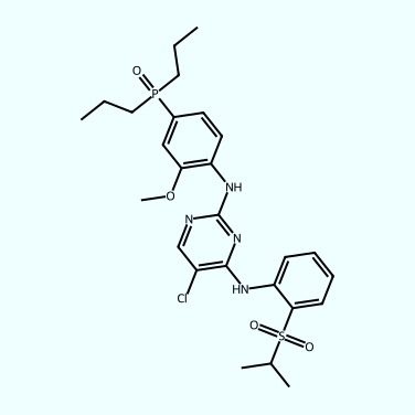 CCCP(=O)(CCC)c1ccc(Nc2ncc(Cl)c(Nc3ccccc3S(=O)(=O)C(C)C)n2)c(OC)c1